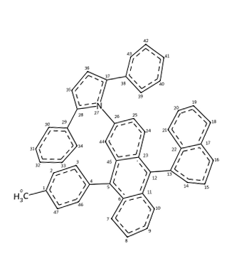 Cc1ccc(-c2c3ccccc3c(-c3cccc4ccccc34)c3ccc(-n4c(-c5ccccc5)ccc4-c4ccccc4)cc23)cc1